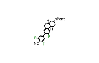 CCCCC[C@@H]1CC[C@@H]2c3cc(F)c(-c4cc(F)c(C#N)c(F)c4)cc3CC[C@H]2C1